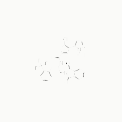 Cn1nccc1-c1cc(C(=O)N[C@@H](Cc2ccccc2C(F)(F)F)CN2C(=O)c3ccccc3C2=O)sc1Cl